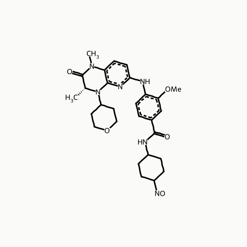 COc1cc(C(=O)NC2CCC(N=O)CC2)ccc1Nc1ccc2c(n1)N(C1CCOCC1)[C@H](C)C(=O)N2C